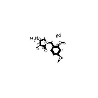 COc1ccc(CN2C[C@@H](N)[C@H](C)C2=O)c(OC)c1.[Pd]